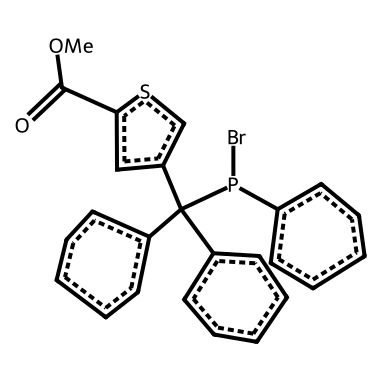 COC(=O)c1cc(C(c2ccccc2)(c2ccccc2)P(Br)c2ccccc2)cs1